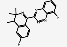 CC1c2cc(F)ccc2C(c2nnc3c(F)cccc3n2)=NC1(C)C